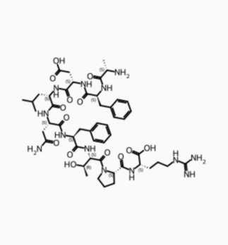 CC(C)C[C@H](NC(=O)[C@H](CC(=O)O)NC(=O)[C@H](Cc1ccccc1)NC(=O)[C@H](C)N)C(=O)N[C@@H](CC(N)=O)C(=O)N[C@@H](Cc1ccccc1)C(=O)N[C@H](C(=O)N1CCC[C@H]1C(=O)N[C@@H](CCCNC(=N)N)C(=O)O)[C@@H](C)O